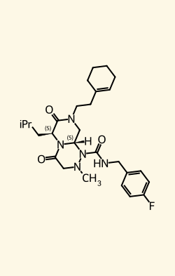 CC(C)C[C@H]1C(=O)N(CCC2=CCCCC2)C[C@H]2N1C(=O)CN(C)N2C(=O)NCc1ccc(F)cc1